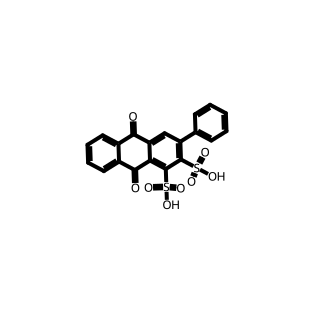 O=C1c2ccccc2C(=O)c2c1cc(-c1ccccc1)c(S(=O)(=O)O)c2S(=O)(=O)O